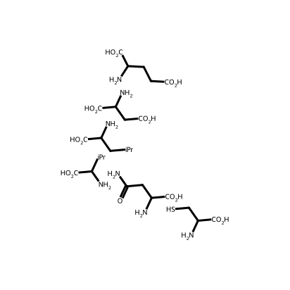 CC(C)C(N)C(=O)O.CC(C)CC(N)C(=O)O.NC(=O)CC(N)C(=O)O.NC(CC(=O)O)C(=O)O.NC(CCC(=O)O)C(=O)O.NC(CS)C(=O)O